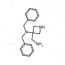 NCC1(N(Cc2ccccc2)Cc2ccccc2)CNC1